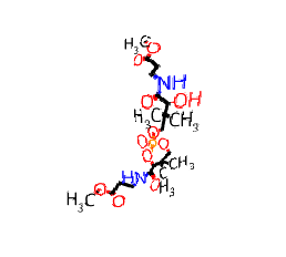 COC(=O)CCNC(=O)C1OP(=O)(OCC(C)(C)[C@@H](O)C(=O)NCCC(=O)OC)OCC1(C)C